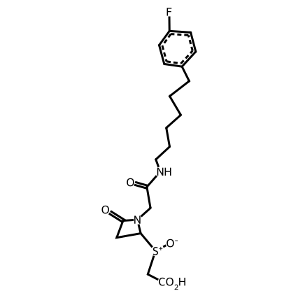 O=C(O)C[S+]([O-])C1CC(=O)N1CC(=O)NCCCCCCc1ccc(F)cc1